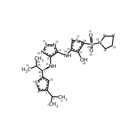 CC(C)c1csc([C@H](Nc2nsnc2Nc2csc(S(=O)(=O)N3CCCC3)c2O)C(C)C)c1